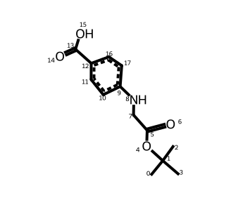 CC(C)(C)OC(=O)CNc1ccc(C(=O)O)cc1